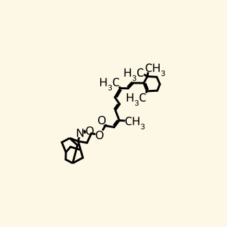 CC(C=CC1=C(C)CCCC1(C)C)=CC=CC(C)=CC(=O)OCCC1(N=O)C2CC3CC(C2)CC1C3